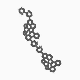 c1ccc(-c2cc(-c3ccc4c5c(ccc4c3)-c3c(c4cccc(-c6ccc(-c7ccc(-c8ccc9c%10c(ccc9c8)-c8c(c9ccccc9c9ccccc89)C%108c9ccccc9-c9ccccc98)cn7)nc6)c4c4ccccc34)C53c4ccccc4-c4ccccc43)ccn2)nc1